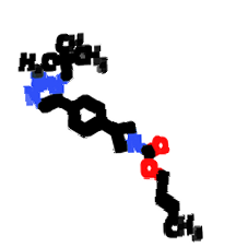 CCCCOC(=O)N1CC(c2ccc(-c3cnnn3CC(C)(C)C)cc2)C1